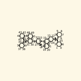 c1ccc(N(c2ccccc2)c2ccc3cc4c5c(cccc5c3c2)Sc2cc(-c3ccc(N(c5ccccc5)c5ccccc5)c5ccccc35)ccc2-4)cc1